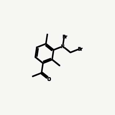 CC(=O)c1ccc(C)c(N(Br)CBr)c1C